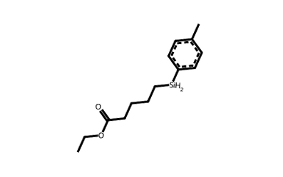 CCOC(=O)CCCC[SiH2]c1ccc(C)cc1